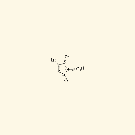 CCC1=CC(=O)N(C(=O)O)C1=O